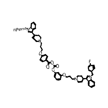 CCCCCn1cc(C2CCN(CCCOc3ccc(C(=O)OC(=O)Oc4cccc(OCCCN5CCC(c6cn(Cc7ccc(F)cc7)c7ccccc67)CC5)c4)cc3)CC2)c2ccccc21